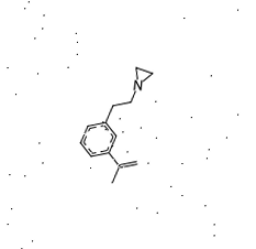 C=C(C)c1cccc(CCN2CC2)c1